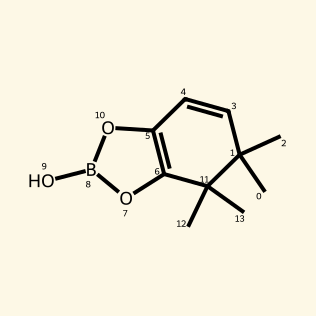 CC1(C)C=CC2=C(OB(O)O2)C1(C)C